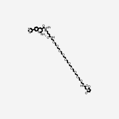 CCCN(OCCCC(=O)NCCOCCOCCOCCOCCOCCOCCOCCOCCOCCOCCNC(=O)CN1C(=O)C=CC1=O)C(=O)C1=Cc2ccc(-c3cncnc3)cc2N=C(N)C1